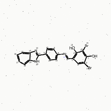 Oc1c(Br)cc(/C=N/c2ccc(-c3nc4ccccc4[nH]3)cc2)c(O)c1Br